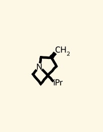 C=C1CN2CCC2(C(C)C)C1